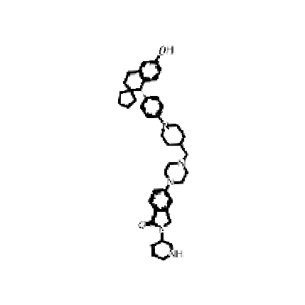 O=C1c2ccc(N3CCN(CC4CCN(c5ccc([C@H]6c7ccc(O)cc7CCC67CCCC7)cc5)CC4)CC3)cc2CN1C1CCCNC1